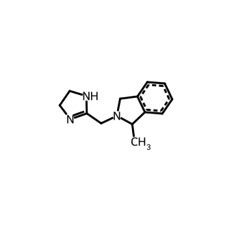 CC1c2ccccc2CN1CC1=NCCN1